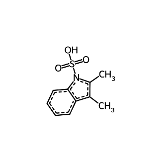 Cc1c(C)n(S(=O)(=O)O)c2ccccc12